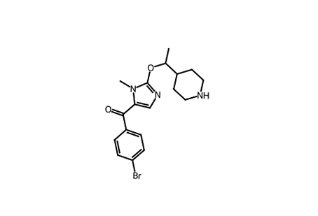 CC(Oc1ncc(C(=O)c2ccc(Br)cc2)n1C)C1CCNCC1